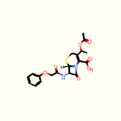 CC(=O)OC(C)C1=C(C(=O)O)N2C(=O)[C@@H](NC(=O)COc3ccccc3)[C@@H]2SC1